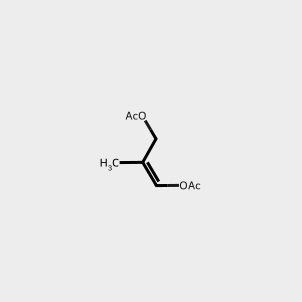 CC(=O)O/C=C(/C)COC(C)=O